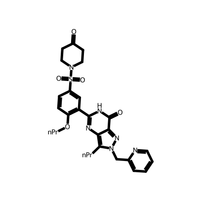 CCCOc1ccc(S(=O)(=O)N2CCC(=O)CC2)cc1-c1nc2c(CCC)n(Cc3ccccn3)nc2c(=O)[nH]1